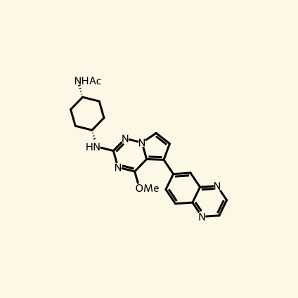 COc1nc(N[C@H]2CC[C@@H](NC(C)=O)CC2)nn2ccc(-c3ccc4nccnc4c3)c12